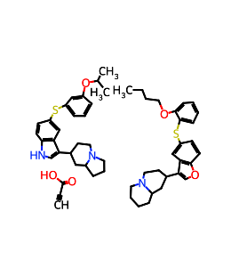 C#CC(=O)O.CC(C)Oc1cccc(Sc2ccc3[nH]cc(C4CCN5CCCC5C4)c3c2)c1.CCCCOc1ccccc1Sc1ccc2occ(C3CCN4CCCCC4C3)c2c1